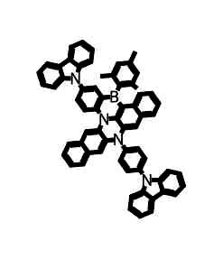 Cc1cc(C)c(B2c3cc(-n4c5ccccc5c5ccccc54)ccc3N3c4cc5ccccc5cc4N(c4ccc(-n5c6ccccc6c6ccccc65)cc4)c4cc5ccccc5c2c43)c(C)c1